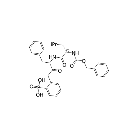 CC(C)C[C@H](NC(=O)OCc1ccccc1)C(=O)NC(Cc1ccccc1)C(=O)Cc1ccccc1P(=O)(O)O